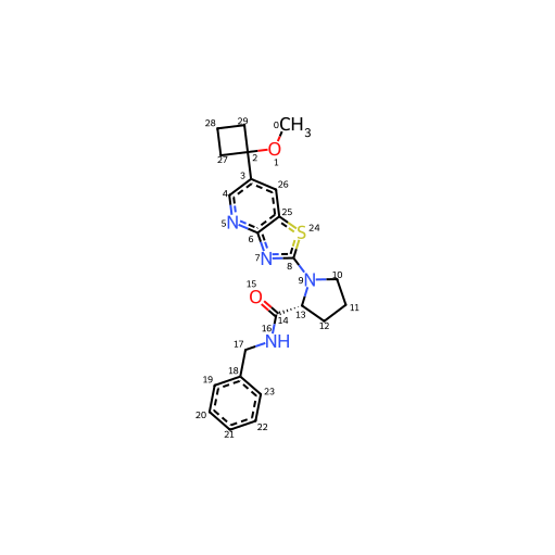 COC1(c2cnc3nc(N4CCC[C@@H]4C(=O)NCc4ccccc4)sc3c2)CCC1